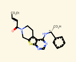 CCOC(=O)/C=C/C(=O)N1CCc2c(sc3ncnc(N[C@H](C(=O)O)c4ccccc4)c23)C1